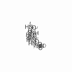 C=CCNC(=O)C(=O)C(CCCC)NC(=O)[C@@H]1[C@@H]2[C@H](CN1C(=O)[C@@H](NC(=O)N[C@H](CN(C)S(=O)(=O)N1CCCCC1)C(C)(C)C)C(C)(C)C)C2(C)C